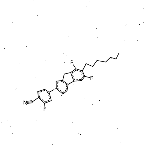 CCCCCCCc1c(F)cc2c(c1F)Cc1cc(-c3ccc(C#N)c(F)c3)ccc1-2